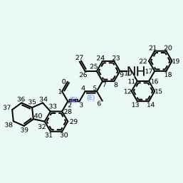 C=C/C(=C\C=C(/C)c1cc(Nc2ccccc2-c2ccccc2)ccc1C=C)c1cccc2c1CC1=CCCC=C12